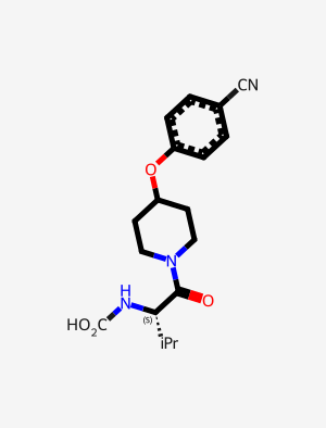 CC(C)[C@H](NC(=O)O)C(=O)N1CCC(Oc2ccc(C#N)cc2)CC1